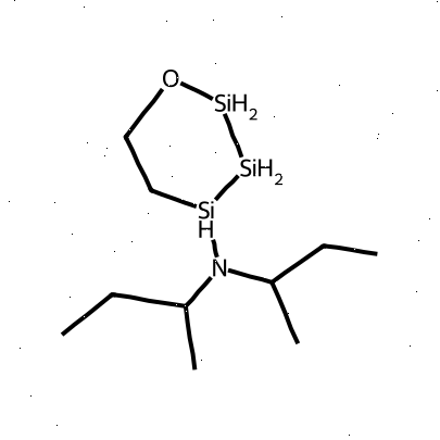 CCC(C)N(C(C)CC)[SiH]1CCO[SiH2][SiH2]1